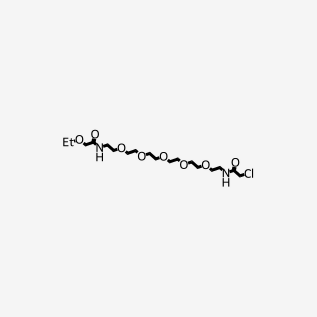 CCOCC(=O)NCCOCCOCCOCCOCCOCCNC(=O)CCl